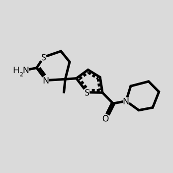 CC1(c2ccc(C(=O)N3CCCCC3)s2)CCSC(N)=N1